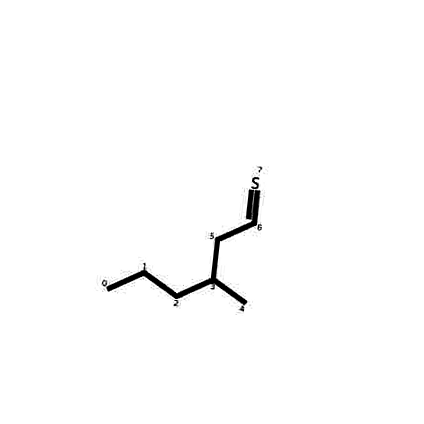 CC[CH]C(C)CC=S